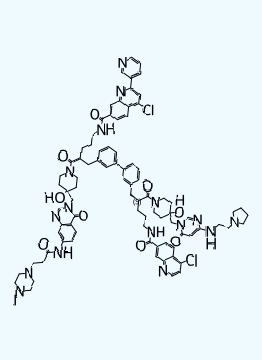 O=C(CCN1CCN(I)CC1)Nc1ccc2c(=O)n(CC3(O)CCN(C(=O)C(CCCNC(=O)c4ccc5c(Cl)cc(-c6cccnc6)nc5c4)Cc4cccc(-c5cccc(C[C@H](CCCNC(=O)c6ccc7c(Cl)ccnc7c6)C(=O)N6CCC(O)(Cn7cnc(NCCN8CCCC8)cc7=O)CC6)c5)c4)CC3)cnc2c1